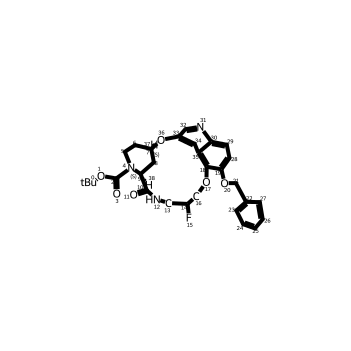 CC(C)(C)OC(=O)N1CC[C@H]2C[C@H]1C(=O)NCC(F)COc1c(OCc3ccccc3)ccc3ncc(cc13)O2